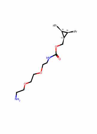 CCC[C@@H]1[C@H](CCC)[C@@H]1COC(=O)NCCOCCOCCN